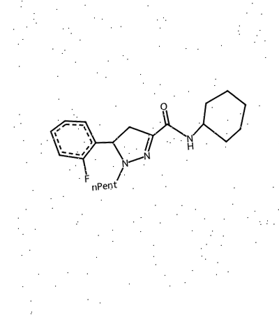 CCCCCN1N=C(C(=O)NC2CCCCC2)CC1c1ccccc1F